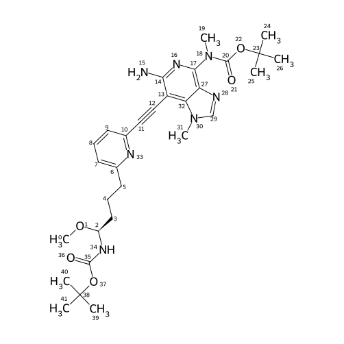 CO[C@@H](CCCc1cccc(C#Cc2c(N)nc(N(C)C(=O)OC(C)(C)C)c3ncn(C)c23)n1)NC(=O)OC(C)(C)C